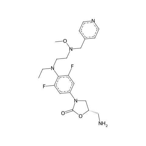 CCN(CCN(Cc1ccncc1)OC)c1c(F)cc(N2C[C@H](CN)OC2=O)cc1F